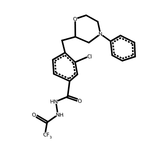 O=C(NNC(=O)C(F)(F)F)c1ccc(CC2CN(c3ccccc3)CCO2)c(Cl)c1